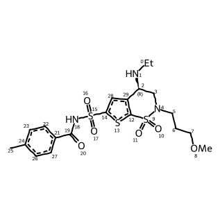 CCN[C@H]1CN(CCCOC)S(=O)(=O)c2sc(S(=O)(=O)NC(=O)c3ccc(C)cc3)cc21